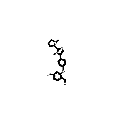 CN1CCCC1c1ncc(-c2ccc(Oc3cc(Cl)ccc3C=O)cc2)n1C